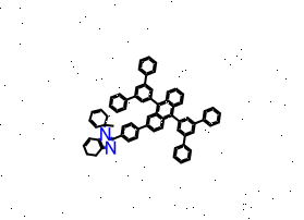 CC1(n2c(-c3ccc(-c4ccc5c(-c6cc(-c7ccccc7)cc(-c7ccccc7)c6)c6ccccc6c(-c6cc(-c7ccccc7)cc(-c7ccccc7)c6)c5c4)cc3)nc3c2C=CCC3)C=CC=CC1